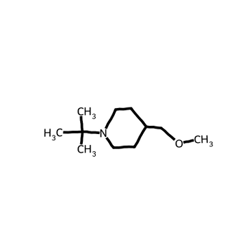 COCC1CCN(C(C)(C)C)CC1